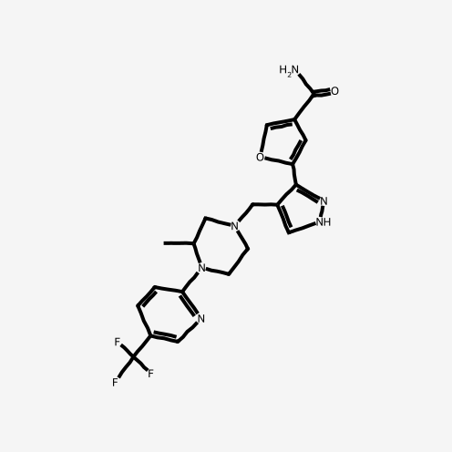 CC1CN(Cc2c[nH]nc2-c2cc(C(N)=O)co2)CCN1c1ccc(C(F)(F)F)cn1